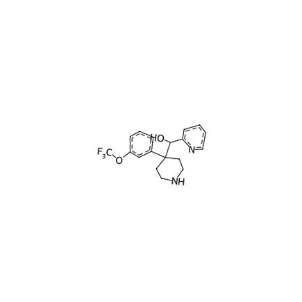 OC(c1ccccn1)C1(c2cccc(OC(F)(F)F)c2)CCNCC1